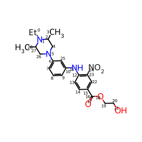 CCN1C(C)CN(c2cccc(Nc3ccc(C(=O)OCCO)cc3[N+](=O)[O-])c2)CC1C